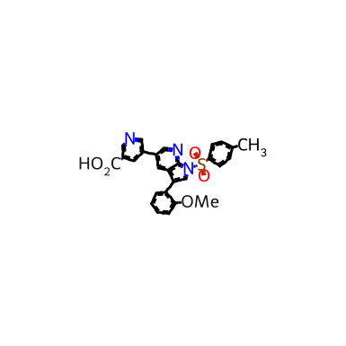 COc1ccccc1-c1cn(S(=O)(=O)c2ccc(C)cc2)c2ncc(-c3cncc(C(=O)O)c3)cc12